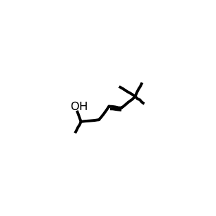 CC(O)CC=CC(C)(C)C